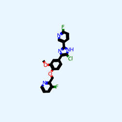 COc1cc(-c2nc(-c3ccc(F)nc3)[nH]c2Cl)ccc1OCc1ncccc1F